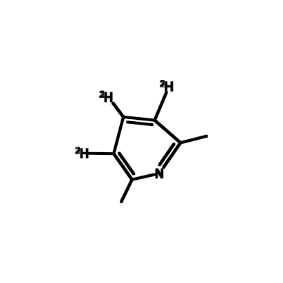 [2H]c1c(C)nc(C)c([2H])c1[2H]